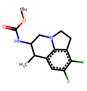 CC1c2cc(F)c(F)c3c2N(CC3)CC1NC(=O)OC(C)(C)C